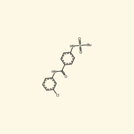 CC(C)(C)S(=O)(=O)Nc1ccc(C(=O)Nc2cccc(Cl)c2)cc1